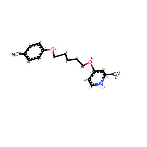 N#Cc1ccc(OCCCCCOc2ccnc(C#N)c2)cc1